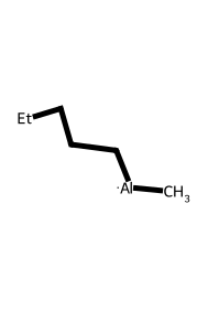 CCCC[CH2][Al][CH3]